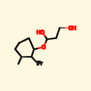 CC(C)C1C(C)CCCC1OC(O)CCO